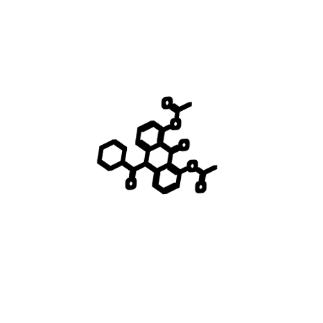 CC(=O)Oc1cccc2c1C(=O)c1c(OC(C)=O)cccc1C2C(=O)C1CCCCC1